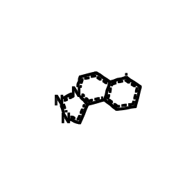 [c]1cccc2c1ccn1nncc21